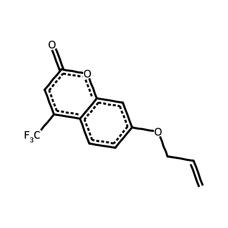 C=CCOc1ccc2c(C(F)(F)F)cc(=O)oc2c1